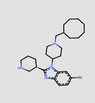 Brc1ccc2nc([C@@H]3CCCNC3)n(C3CCN(CC4CCCCCCC4)CC3)c2c1